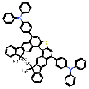 CC1(C)c2ccccc2-c2cc3c(-c4ccc(N(c5ccccc5)c5ccccc5)cc4)cc4sc5cc(-c6ccc(N(c7ccccc7)c7ccccc7)cc6)c6cc7c(cc6c5c4c3cc21)C(C)(C)c1ccccc1-7